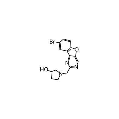 O[C@@H]1CCN(Cc2ncc3oc4ccc(Br)cc4c3n2)C1